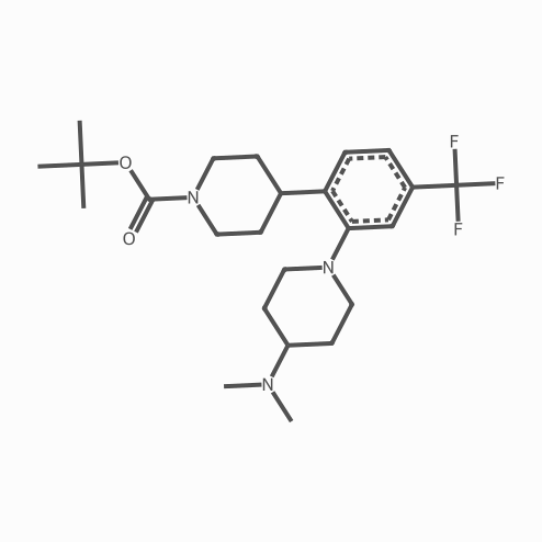 CN(C)C1CCN(c2cc(C(F)(F)F)ccc2C2CCN(C(=O)OC(C)(C)C)CC2)CC1